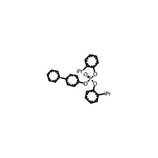 CC(C)c1ccccc1OP(=O)(Oc1ccc(-c2ccccc2)cc1)Oc1ccccc1C(C)C